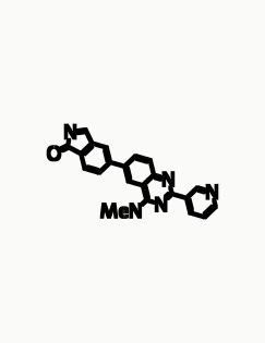 CNc1nc(-c2cccnc2)nc2ccc(-c3ccc4c(c3)C=NC4=O)cc12